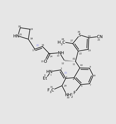 CCN/C=C(/c1c(F)cccc1[C@H](CNC(=O)/C=C/C1CCN1)c1cc(C#N)sc1C)C(N)C(F)(F)F